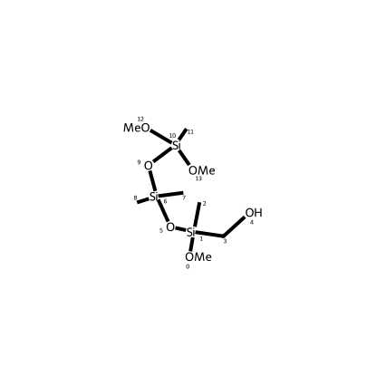 CO[Si](C)(CO)O[Si](C)(C)O[Si](C)(OC)OC